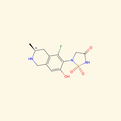 C[C@H]1Cc2c(cc(O)c(N3CC(=O)NS3(=O)=O)c2F)CN1